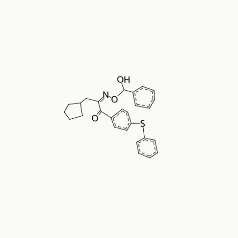 O=C(/C(CC1CCCC1)=N\OC(O)c1ccccc1)c1ccc(Sc2ccccc2)cc1